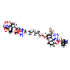 O=C(NC(c1ccccc1)c1cc(Br)cc(OCCCCCCCCCNCC(O)c2ccc(O)c3[nH]c(=O)ccc23)c1)OC1CN2CCC1CC2